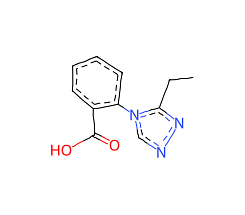 CCc1nncn1-c1ccccc1C(=O)O